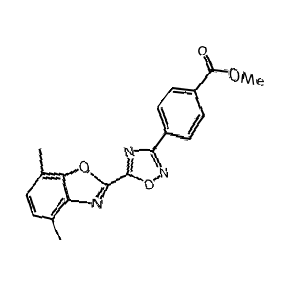 COC(=O)c1ccc(-c2noc(-c3nc4c(C)ccc(C)c4o3)n2)cc1